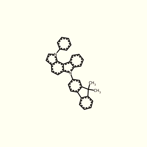 CC1(C)c2ccccc2-c2ccc(-n3c4ccccc4c4c5c(ccc43)ccn5-c3ccccc3)cc21